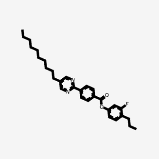 CCCCCCCCCCc1cnc(-c2ccc(C(=O)Oc3ccc(CCC)c(F)c3)cc2)nc1